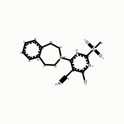 CS(=O)(=O)c1nc(Cl)c(C#N)c(N2CCc3ccccc3CC2)n1